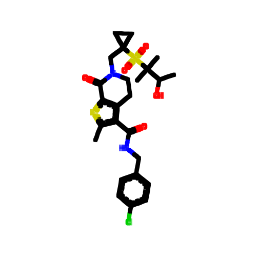 Cc1sc2c(c1C(=O)NCc1ccc(Cl)cc1)CCN(CC1(S(=O)(=O)C(C)(C)C(C)O)CC1)C2=O